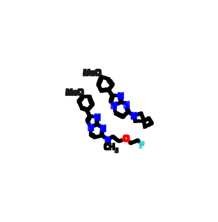 COc1ccc(-c2cn3ccc(N(C)CCOCCF)nc3n2)cc1.COc1ccc(-c2cn3ccc(N4CC5(CCC5)C4)nc3n2)cc1